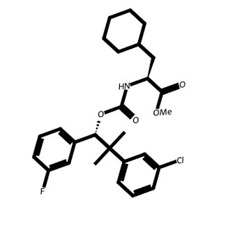 COC(=O)[C@H](CC1CCCCC1)NC(=O)O[C@@H](c1cccc(F)c1)C(C)(C)c1cccc(Cl)c1